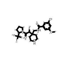 COc1cc(Cl)cc(C(=O)NCC2(C(F)C(=O)N3CCCC3C(F)(F)F)CCNCC2)c1